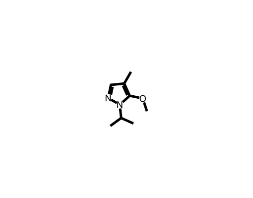 COc1c(C)cnn1C(C)C